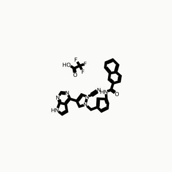 N#CN1C=C(c2ncnc3[nH]ccc23)CN1Cc1cccc(NC(=O)c2ccc3ccccc3c2)c1.O=C(O)C(F)(F)F